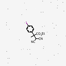 CCOC(=O)C(C)(c1ccc(I)cc1)C(C#N)C#N